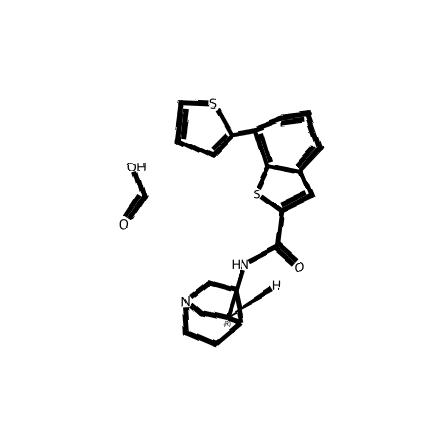 O=C(N[C@H]1CN2CCC1CC2)c1cc2cccc(-c3cccs3)c2s1.O=CO